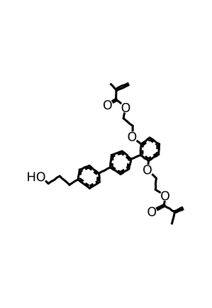 C=C(C)C(=O)OCCOc1cccc(OCCOC(=O)C(=C)C)c1-c1ccc(-c2ccc(CCCO)cc2)cc1